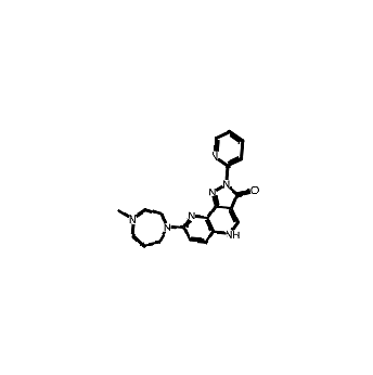 CN1CCCN(c2ccc3[nH]cc4c(=O)n(-c5ccccn5)nc-4c3n2)CC1